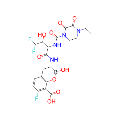 CCN1CCN(C(=O)NC(C(=O)N[C@H]2Cc3ccc(F)c(C(=O)O)c3OB2O)C(O)C(F)F)C(=O)C1=O